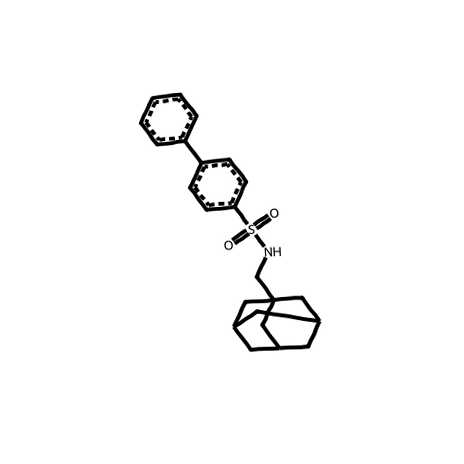 O=S(=O)(NCC12CC3CC(CC(C3)C1)C2)c1ccc(-c2ccccc2)cc1